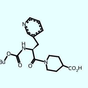 CC(C)(C)OC(=O)N[C@@H](Cc1cccnc1)C(=O)N1CCC(C(=O)O)CC1